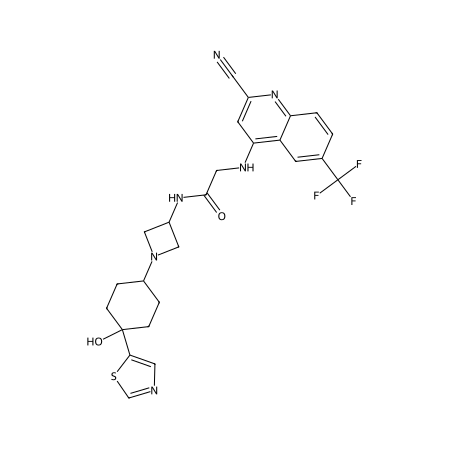 N#Cc1cc(NCC(=O)NC2CN(C3CCC(O)(c4cncs4)CC3)C2)c2cc(C(F)(F)F)ccc2n1